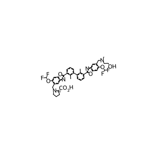 Cc1c(-c2nc3cc(CN(C)CCO)c(OC(F)F)cc3o2)cccc1-c1cccc(-c2nc3cc(CN4CCC[C@H]4C(=O)O)c(OC(F)F)cc3o2)c1C